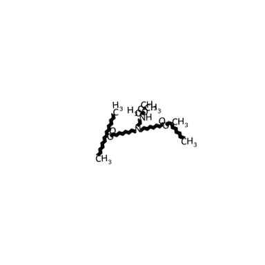 CCCCCCCCC(CCCCCCCC)OC(=O)CCCCCCCN(CCCCCCCC(=O)OCC(C)CCCCCCC)CCCNC(=O)OC(C)(C)C